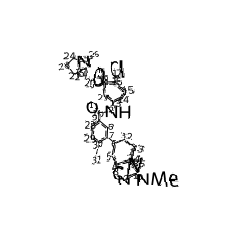 CNc1ncc2cc(-c3cc(C(=O)Nc4ccc(Cl)c(OC[C@@H]5CCCN5C)c4)ccc3C)ccc2n1